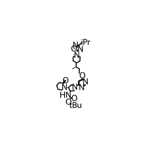 CC(C)c1noc(N2CCC([C@H](C)CCOc3cc(N4C[C@H](NC(=O)OC(C)(C)C)[C@H](N5CCCCC5=O)C4)ncn3)CC2)n1